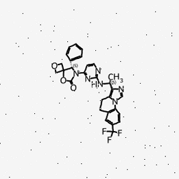 C[C@H](Nc1nccc(N2C(=O)OC3(COC3)[C@@H]2c2ccccc2)n1)c1ncn2c1CCc1cc(C(F)(F)F)ccc1-2